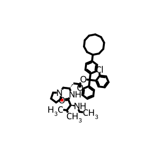 CCN[C@H](C(=O)N[C@@H](CC(=O)OC(c1ccccc1)(c1ccc(C2CCCCCCCCC2)cc1)c1ccccc1Cl)CN1CCCC1)C(C)C